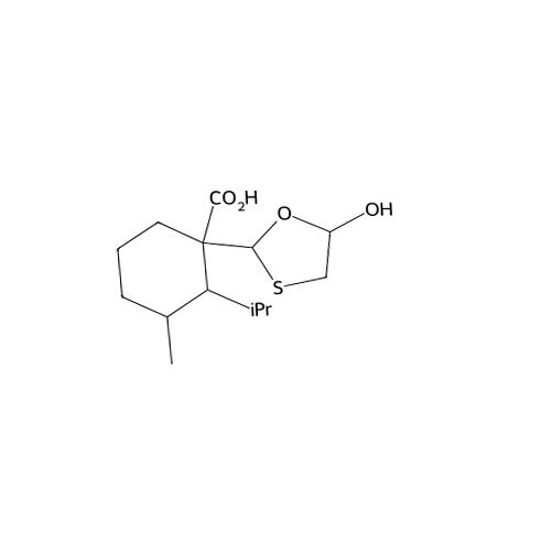 CC(C)C1C(C)CCCC1(C(=O)O)C1OC(O)CS1